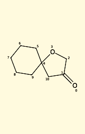 O=C1COC2(CCCCC2)C1